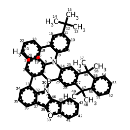 Cc1cc2c3c(c1)N(c1ccc(C(C)(C)C)cc1-c1ccccc1)c1cc4c(cc1B3n1c3c-2cccc3c2oc3ccccc3c21)C(C)(C)c1ccccc1C4(C)C